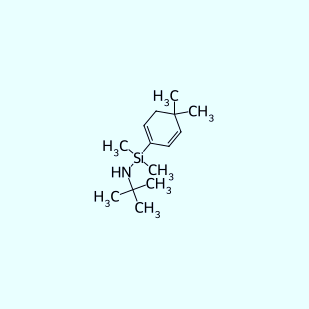 CC1(C)C=CC([Si](C)(C)NC(C)(C)C)=CC1